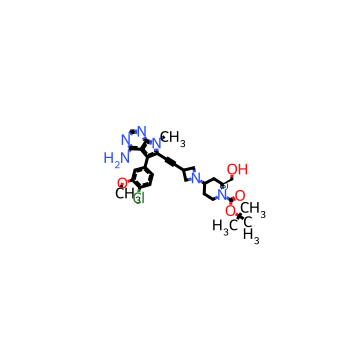 COc1cc(-c2c(C#CC3CN(C4CCN(C(=O)OC(C)(C)C)[C@H](CO)C4)C3)n(C)c3ncnc(N)c23)ccc1Cl